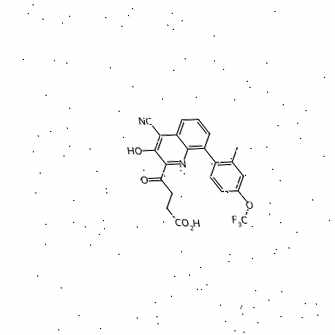 Cc1cc(OC(F)(F)F)ccc1-c1cccc2c(C#N)c(O)c(C(=O)CCC(=O)O)nc12